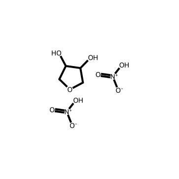 O=[N+]([O-])O.O=[N+]([O-])O.OC1COCC1O